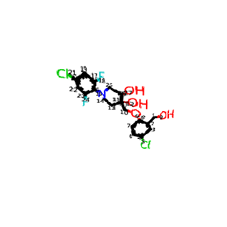 OCc1cc(Cl)ccc1OC[C@]1(O)CCN(c2c(F)cc(Cl)cc2F)C[C@H]1O